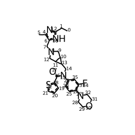 CCc1nc(C)c(CN2CC3C(C2)C3CN(C(=O)c2cccs2)c2ccc(N3CCOCC3)c(F)c2)[nH]1